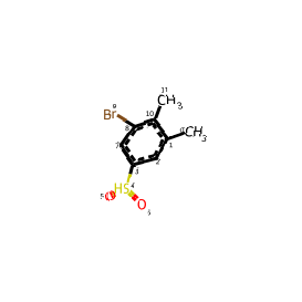 Cc1cc([SH](=O)=O)cc(Br)c1C